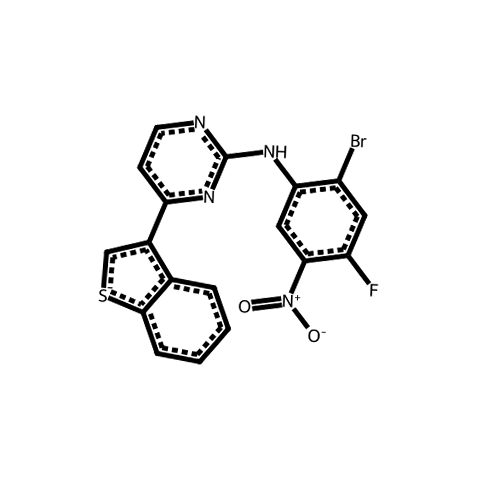 O=[N+]([O-])c1cc(Nc2nccc(-c3csc4ccccc34)n2)c(Br)cc1F